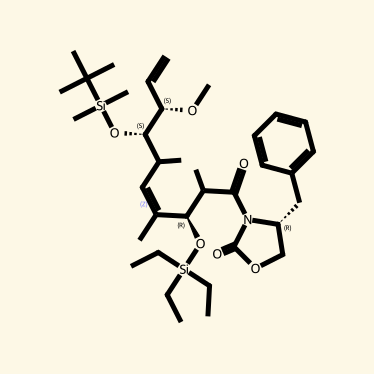 C=C[C@H](OC)[C@@H](O[Si](C)(C)C(C)(C)C)C(C)/C=C(/C)[C@H](O[Si](CC)(CC)CC)C(C)C(=O)N1C(=O)OC[C@H]1Cc1ccccc1